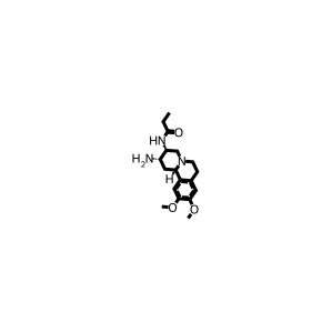 CCC(=O)N[C@H]1CN2CCc3cc(OC)c(OC)cc3[C@@H]2C[C@@H]1N